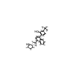 Oc1cc(C(F)(F)F)ccc1-c1nnc(NC[C@@H]2CCCN2)c2ccccc12